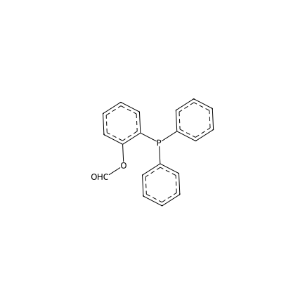 O=COc1ccccc1P(c1ccccc1)c1ccccc1